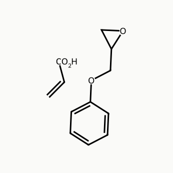 C=CC(=O)O.c1ccc(OCC2CO2)cc1